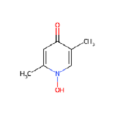 Cc1cn(O)c(C)cc1=O